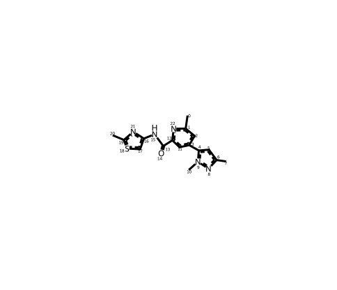 Cc1cc(-c2cc(C)nn2C)cc(C(=O)Nc2csc(C)n2)n1